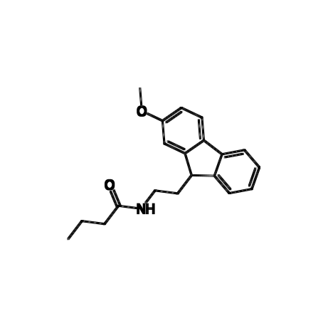 CCCC(=O)NCCC1c2ccccc2-c2ccc(OC)cc21